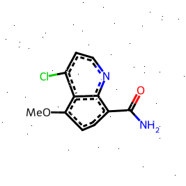 COc1ccc(C(N)=O)c2nccc(Cl)c12